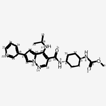 COC(=O)N[C@H]1CC[C@H](NC(=O)c2cnn3cc(-c4cccnc4)cc3c2NC(C)C)CC1